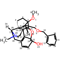 COC12CC[C@@]3(C[C@H]1COCc1ccccc1)[C@H]1Cc4ccc(O)c5c4[C@@]3(CCN1C)[C@H]2O5